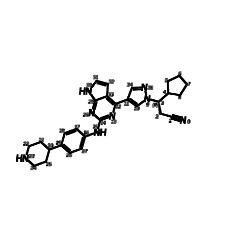 N#CC[C@H](C1CCCC1)n1cc(-c2nc(Nc3ccc(C4CCNCC4)cc3)nc3[nH]ccc23)cn1